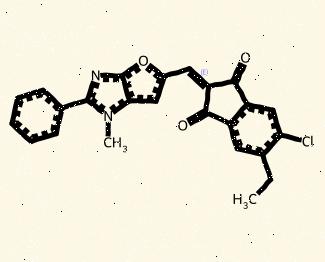 CCc1cc2c(cc1Cl)C(=O)/C(=C/c1cc3c(nc(-c4ccccc4)n3C)o1)C2=O